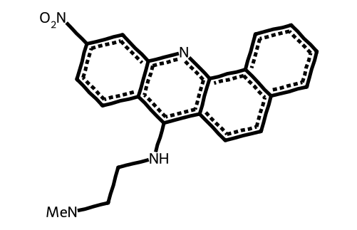 CNCCNc1c2ccc([N+](=O)[O-])cc2nc2c1ccc1ccccc12